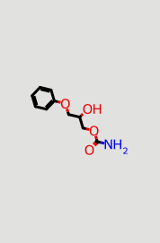 NC(=O)OCC(O)COc1ccccc1